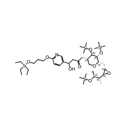 CC[Si](CC)(CC)OCCCOc1ccc(C(O)CC(=O)C[C@H]2CO[C@@H](C[C@@H]3O[C@H]3[C@H](C)[C@H](C)O[Si](C)(C)C)[C@@H](O[Si](C)(C)C)[C@@H]2O[Si](C)(C)C)cn1